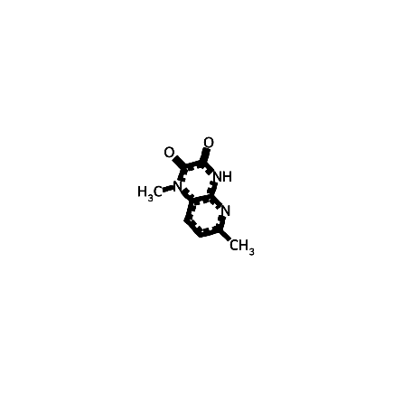 Cc1ccc2c(n1)[nH]c(=O)c(=O)n2C